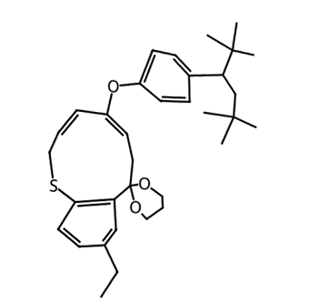 CCc1ccc2c(c1)C1(C/C=C(Oc3ccc(C(CC(C)(C)C)C(C)(C)C)cc3)\C=C/CS2)OCCCO1